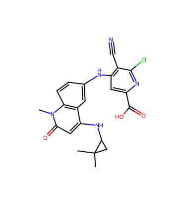 Cn1c(=O)cc(NC2CC2(C)C)c2cc(Nc3cc(C(=O)O)nc(Cl)c3C#N)ccc21